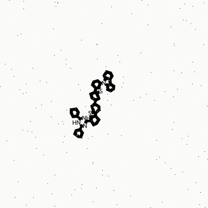 c1ccc(C2N=C(c3cccc4c3sc3cc(-c5ccc6c(c5)sc5c(-n7c8ccccc8c8ccccc87)cccc56)ccc34)NC(c3ccccc3)N2)cc1